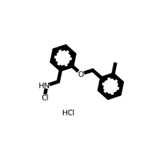 Cc1ccccc1COc1ccccc1CNCl.Cl